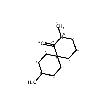 CC1CCC2(CCCN(C)C2=O)CC1